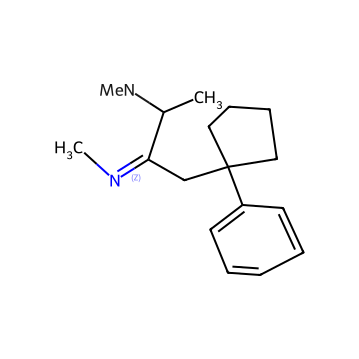 C/N=C(/CC1(c2ccccc2)CCCC1)C(C)NC